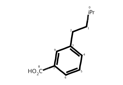 CC(C)CCc1cccc(C(=O)O)c1